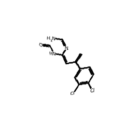 C=C(/C=C(\N=C/N)NC=O)c1ccc(Cl)c(Cl)c1